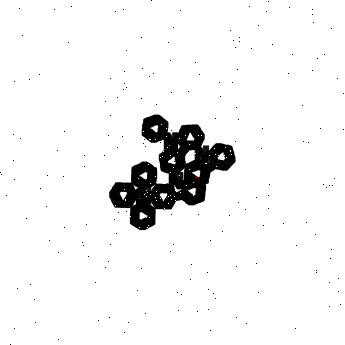 c1ccc(-n2c3ccc(-n4c5ccccc5c5ccc([Si](c6ccccc6)(c6ccccc6)c6ccccc6)cc54)cc3c3c(-n4c5ccccc5c5ccccc54)cccc32)cc1